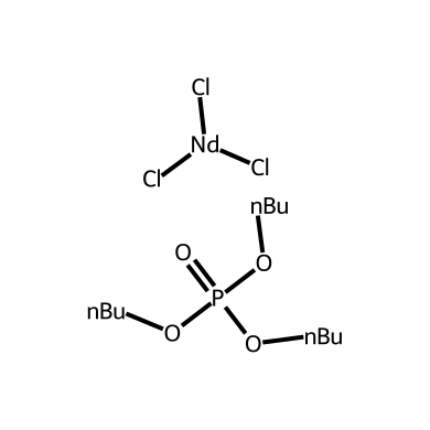 CCCCOP(=O)(OCCCC)OCCCC.[Cl][Nd]([Cl])[Cl]